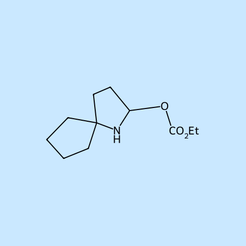 CCOC(=O)OC1CCC2(CCCC2)N1